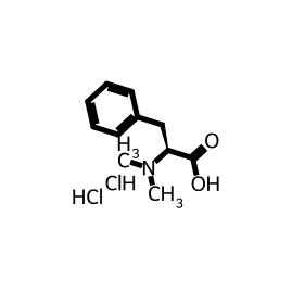 CN(C)[C@@H](Cc1ccccc1)C(=O)O.Cl.Cl